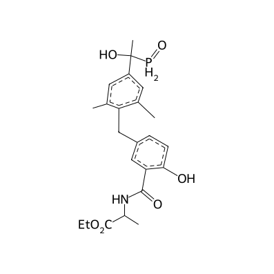 CCOC(=O)C(C)NC(=O)c1cc(Cc2c(C)cc(C(C)(O)[PH2]=O)cc2C)ccc1O